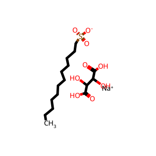 CCCCCCCCCCCCS(=O)(=O)[O-].O=C(O)C(O)C(O)C(=O)O.[Na+]